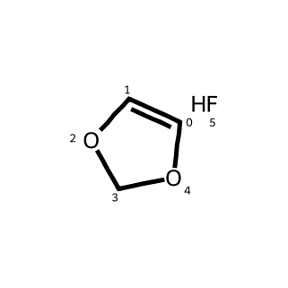 C1=COCO1.F